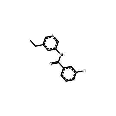 CCc1cncc(NC(=O)c2cccc(Cl)c2)c1